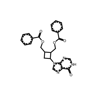 O=C(OCC1CC(n2cnc3c(=O)[nH]cnc32)C1COC(=O)c1ccccc1)c1ccccc1